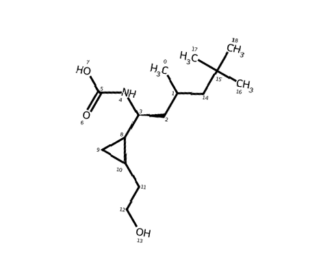 CC(C[C@H](NC(=O)O)C1CC1CCO)CC(C)(C)C